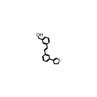 OCc1cccc(/C=C/c2cccc(C3=CSCC3)c2)c1